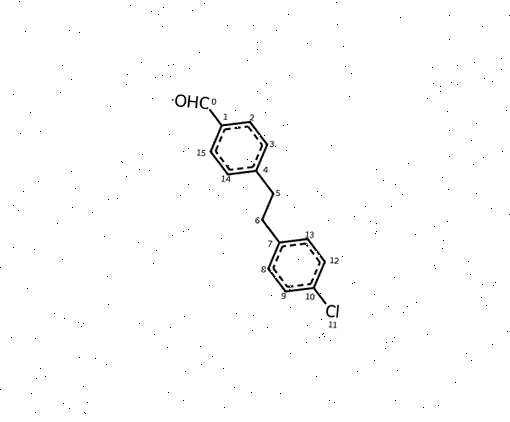 O=[C]c1ccc(CCc2ccc(Cl)cc2)cc1